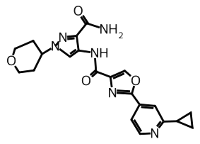 NC(=O)c1nn(C2CCOCC2)cc1NC(=O)c1coc(-c2ccnc(C3CC3)c2)n1